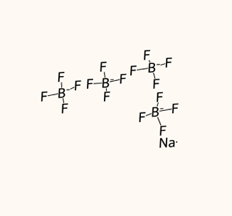 F[B-](F)(F)F.F[B-](F)(F)F.F[B-](F)(F)F.F[B-](F)(F)F.[Na]